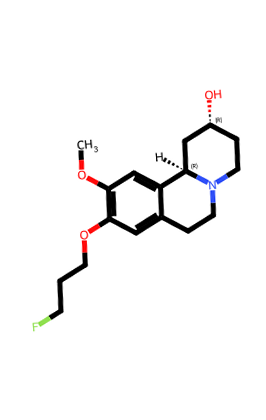 COc1cc2c(cc1OCCCF)CCN1CC[C@@H](O)C[C@H]21